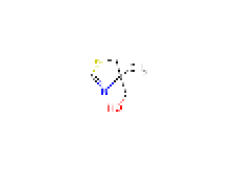 CC1(CO)CSC=N1